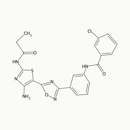 CCC(=O)Nc1nc(N)c(-c2nc(-c3cccc(NC(=O)c4cccc(Cl)c4)c3)no2)s1